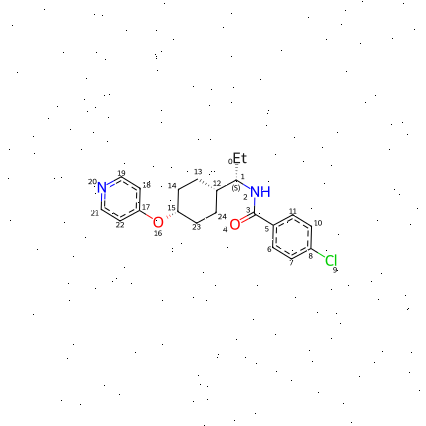 CC[C@H](NC(=O)c1ccc(Cl)cc1)[C@H]1CC[C@@H](Oc2ccncc2)CC1